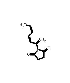 C=C(/C=C\C=C/C)N1C(=O)CCC1=O